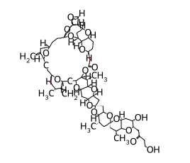 C=C1C[C@@H]2CCC34C[C@H]5OC(O3)[C@H]5[C@H]3C[C@@H](O4)[C@H]4O[C@H](CC[C@@H]4O3)CC(=O)O[C@H]3C(C[C@H]4O[C@@H](CC[C@@H]1O2)C[C@@H](C)C4=C)O[C@H]1C[C@H]2O[C@@]4(CC5O[C@]6(C[C@H](C)C7O[C@H](CC(=O)CCO)[C@H](O)C[C@@H]7O6)C[C@H](C)[C@@H]5O4)C[C@H]2O[C@H]1[C@@H]3C